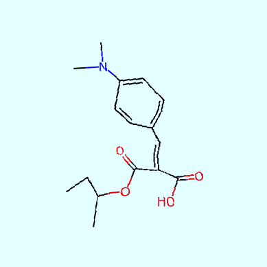 CCC(C)OC(=O)C(=Cc1ccc(N(C)C)cc1)C(=O)O